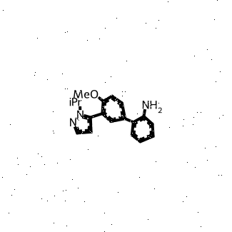 COc1ccc(-c2ccccc2N)cc1-c1ccnn1C(C)C